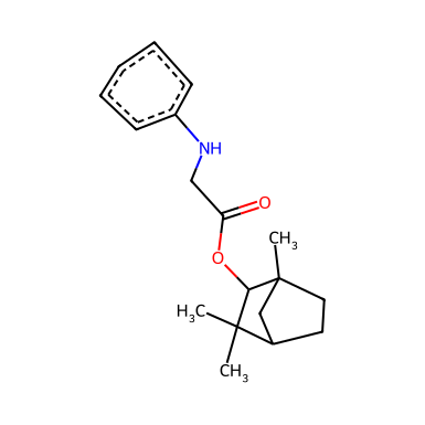 CC12CCC(C1)C(C)(C)C2OC(=O)CNc1ccccc1